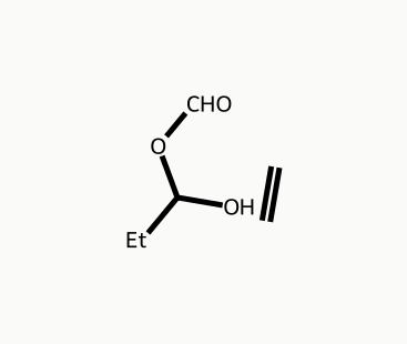 C=C.CCC(O)OC=O